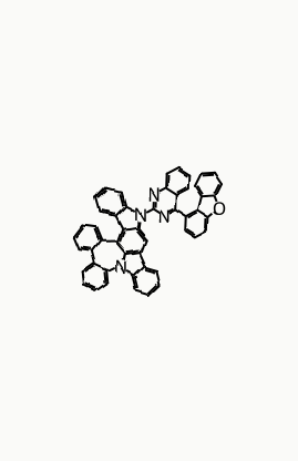 c1ccc2c(c1)-c1ccccc1-n1c3ccccc3c3cc4c(c-2c31)c1ccccc1n4-c1nc(-c2cccc3oc4ccccc4c23)c2ccccc2n1